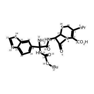 CCCC1=C(C(=O)O)N2C(=O)C(NC(=O)C(N)(NC(=O)OC(C)(C)C)c3ccc4ncsc4c3)C2SC1